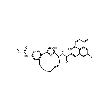 C=N/N=C\N(N)c1ccc(Cl)cc1/C=C/C(=O)N[C@H]1C/C=C/CCCCc2cc(NC(=O)OC)ccc2-c2c[nH]c1n2